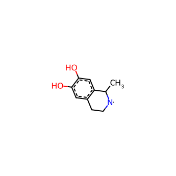 CC1[N]CCc2cc(O)c(O)cc21